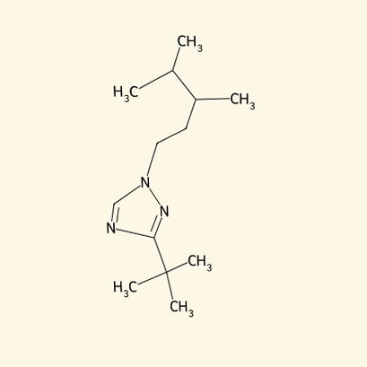 CC(C)C(C)CCn1cnc(C(C)(C)C)n1